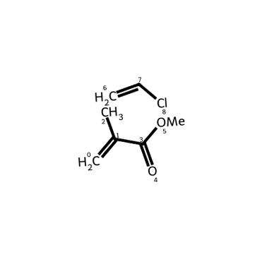 C=C(C)C(=O)OC.C=CCl